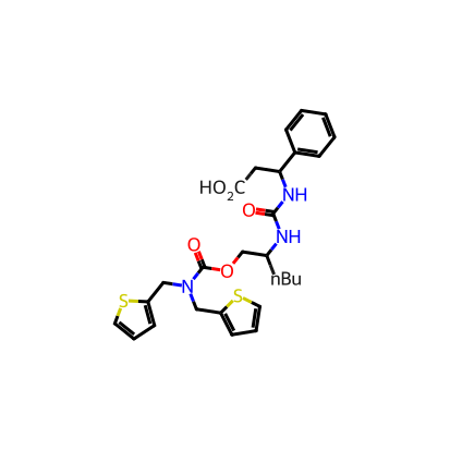 CCCCC(COC(=O)N(Cc1cccs1)Cc1cccs1)NC(=O)NC(CC(=O)O)c1ccccc1